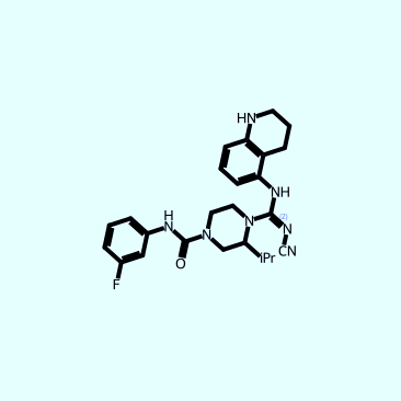 CC(C)C1CN(C(=O)Nc2cccc(F)c2)CCN1/C(=N\C#N)Nc1cccc2c1CCCN2